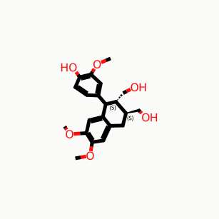 COc1cc(C2c3cc(OC)c(OC)cc3C[C@H](CO)[C@H]2CO)ccc1O